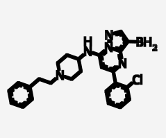 Bc1cnn2c(NC3CCN(CCc4ccccc4)CC3)cc(-c3ccccc3Cl)nc12